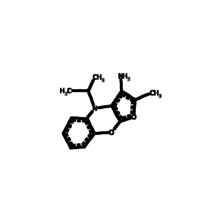 Cc1oc2c(c1N)N(C(C)C)c1ccccc1O2